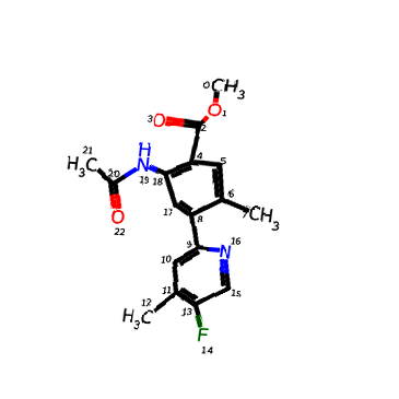 COC(=O)c1cc(C)c(-c2cc(C)c(F)cn2)cc1NC(C)=O